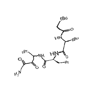 CCCC(NC(=O)[C@H](CC(C)C)NC(=O)C(NC(=O)CC(C)(C)C)C(C)(C)C)C(=O)C(N)=O